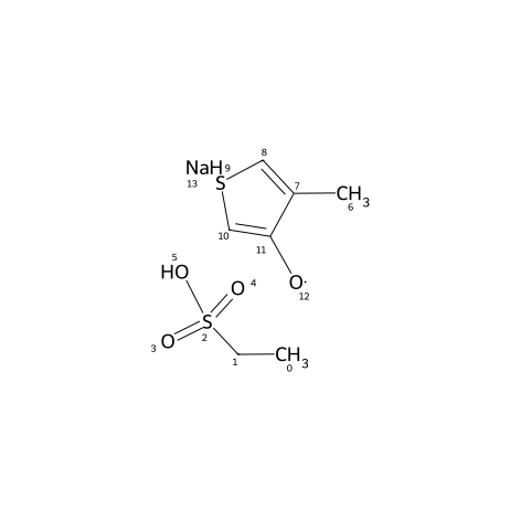 CCS(=O)(=O)O.Cc1cscc1[O].[NaH]